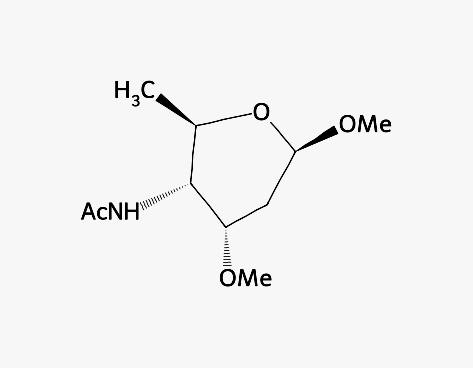 CO[C@H]1C[C@H](OC)[C@H](NC(C)=O)[C@@H](C)O1